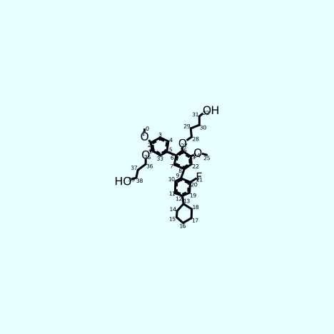 COc1ccc(-c2cc(-c3ccc(C4CCCCC4)cc3F)cc(OC)c2OCCCCO)cc1OCCCO